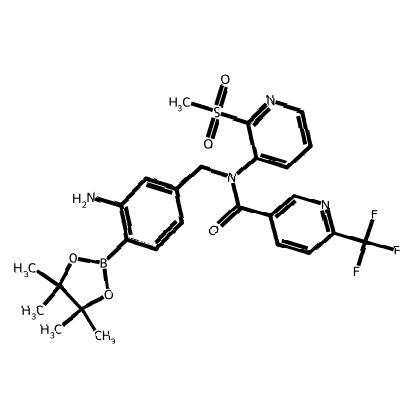 CC1(C)OB(c2ccc(CN(C(=O)c3ccc(C(F)(F)F)nc3)c3cccnc3S(C)(=O)=O)cc2N)OC1(C)C